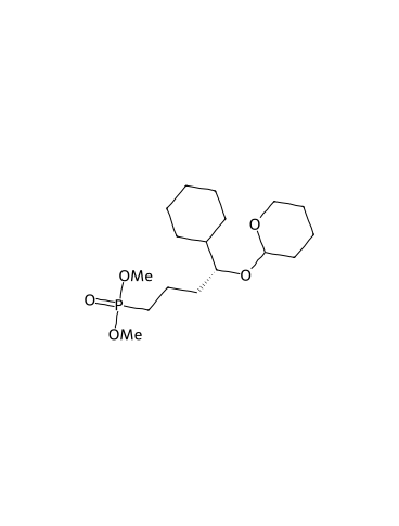 COP(=O)(CCC[C@@H](OC1CCCCO1)C1CCCCC1)OC